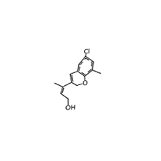 C/C(=C/CO)C1=Cc2cc(Cl)cc(C)c2OC1